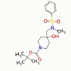 CN(CC1(O)CCN(C(=O)OC(C)(C)C)CC1)S(=O)(=O)c1ccccc1